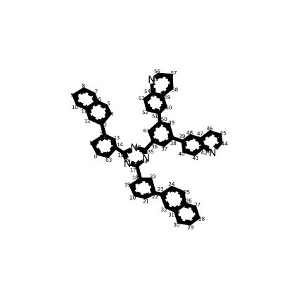 c1cc(-c2ccc3ccccc3c2)cc(-c2nc(-c3cccc(-c4ccc5ccccc5c4)c3)nc(-c3cc(-c4ccc5ncccc5c4)cc(-c4ccc5ncccc5c4)c3)n2)c1